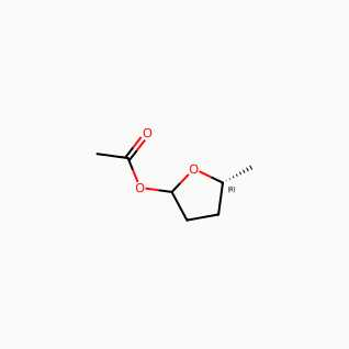 CC(=O)OC1CC[C@@H](C)O1